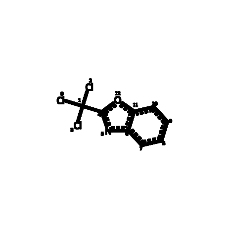 ClC(Cl)(Cl)c1nc2ccccc2o1